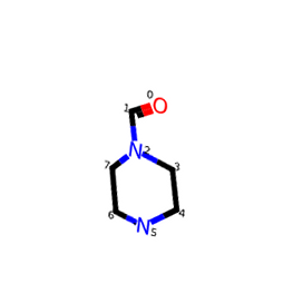 O=[C]N1CC[N]CC1